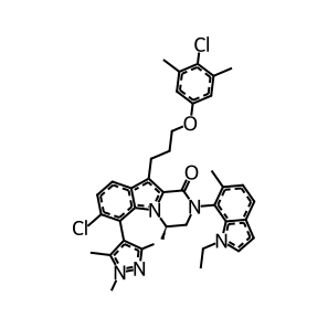 CCn1ccc2ccc(C)c(N3C[C@@H](C)n4c(c(CCCOc5cc(C)c(Cl)c(C)c5)c5ccc(Cl)c(-c6c(C)nn(C)c6C)c54)C3=O)c21